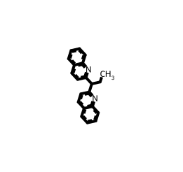 CCC(c1ccc2ccccc2n1)c1ccc2ccccc2n1